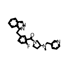 CN(Cc1cccnc1)[C@H]1CCN(C(=O)c2cc(Cc3nncc4ccccc34)ccc2F)C1